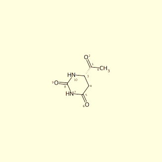 CC(=O)[C@@H]1CC(=O)NC(=O)N1